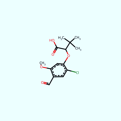 COc1cc(OC(C(=O)O)C(C)(C)C)c(Cl)cc1C=O